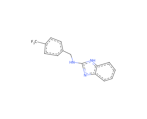 FC(F)(F)c1ccc(CNc2nc3ccccc3[nH]2)cc1